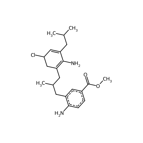 COC(=O)c1ccc(N)c(CC(C)CC2=C(N)C(CC(C)C)=CC(Cl)C2)c1